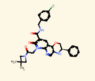 CC1(C)CN(C(=O)Cn2c(=O)c(C(=O)NCc3ccc(Cl)cc3)cc3c4c(cnc32)N[C@H](c2ccccc2)CO4)C1